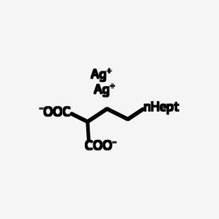 CCCCCCCCCC(C(=O)[O-])C(=O)[O-].[Ag+].[Ag+]